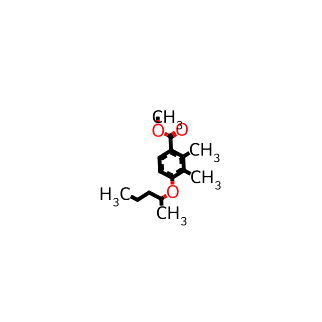 CCCC(C)Oc1ccc(C(=O)OC)c(C)c1C